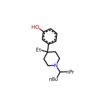 CCCCC(CCC)N1CCC(CC)(c2cccc(O)c2)CC1